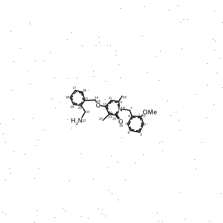 COc1ccccc1Cn1c(C)cc(OCc2ccccc2CN)c(C)c1=O